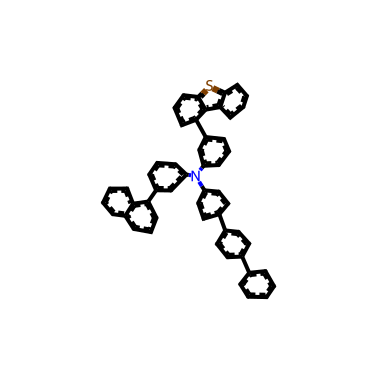 c1ccc(-c2ccc(-c3ccc(N(c4cccc(-c5cccc6ccccc56)c4)c4cccc(-c5cccc6sc7ccccc7c56)c4)cc3)cc2)cc1